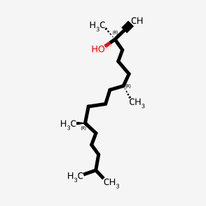 C#C[C@](C)(O)CCC[C@H](C)CCC[C@H](C)CCCC(C)C